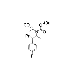 CC(C)[C@@H](c1ccc(F)cc1)[C@H](C)N(C(=O)OC(C)(C)C)[C@@H](C)C(=O)O